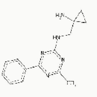 NC1(CNc2nc(-c3ccccc3)nc(C(Cl)(Cl)Cl)n2)CC1